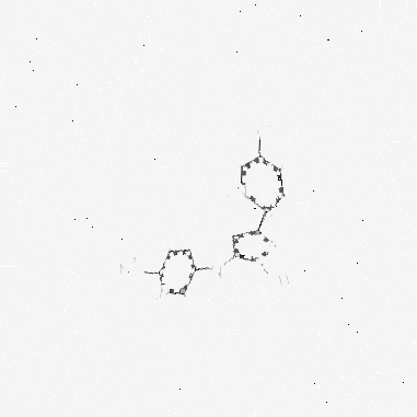 Cn1nc(-c2ccc(C(F)(F)F)cn2)cc1Nc1ccc(C#N)nc1